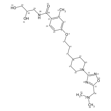 Cc1cc(OCCCC2CCN(c3noc(CN(C)C)n3)CC2)ccc1C(=O)NCC(O)CO